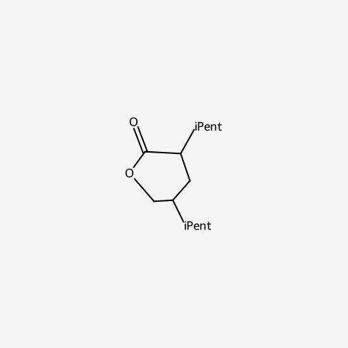 CCCC(C)C1COC(=O)C(C(C)CCC)C1